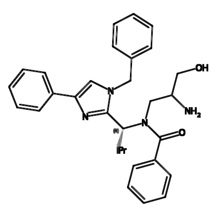 CC(C)[C@H](c1nc(-c2ccccc2)cn1Cc1ccccc1)N(CC(N)CO)C(=O)c1ccccc1